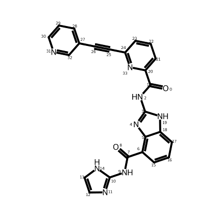 O=C(Nc1nc2c(C(=O)Nc3ncc[nH]3)cccc2[nH]1)c1cccc(C#Cc2cccnc2)n1